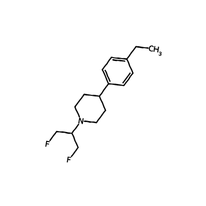 CCc1ccc(C2CCN(C(CF)CF)CC2)cc1